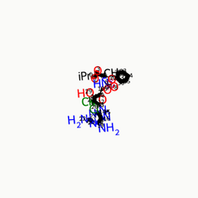 CC(C)OC(=O)[C@@H](C)N[P@](=O)(OC[C@H]1O[C@@H](n2cnc3c(N)nc(N)nc32)C(Cl)(Cl)[C@@H]1O)Oc1ccccc1